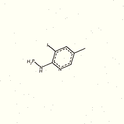 Cc1cnc(NP)c(I)c1